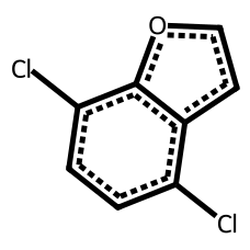 Clc1ccc(Cl)c2occc12